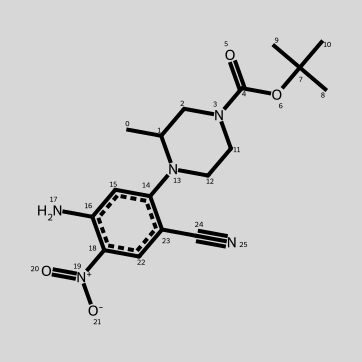 CC1CN(C(=O)OC(C)(C)C)CCN1c1cc(N)c([N+](=O)[O-])cc1C#N